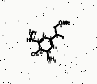 CCCNC1=NC(C(C)COC)=NC(N)N1Cl